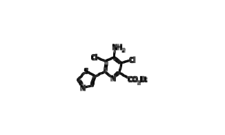 CCOC(=O)c1nc(-c2cncs2)c(Cl)c(N)c1Cl